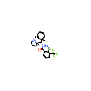 CN1CCC[C@@H]1[C@H](NC(=O)c1cccc(C(F)(F)F)c1Cl)C1(C)C=CC=CC1